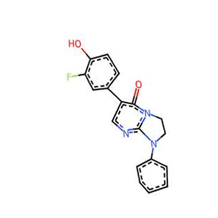 O=c1c(-c2ccc(O)c(F)c2)cnc2n1CCN2c1ccccc1